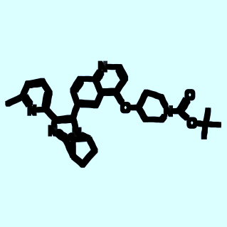 Cc1cccc(-c2nc3n(c2-c2ccc4nccc(OC5CCN(C(=O)OC(C)(C)C)CC5)c4c2)C2CCC3C2)n1